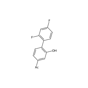 CC(=O)c1ccc(-c2ccc(F)cc2F)c(O)c1